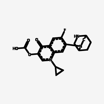 O=C(O)Oc1cn(C2CC2)c2cc(N3CC4CCC3CN4)c(F)cc2c1=O